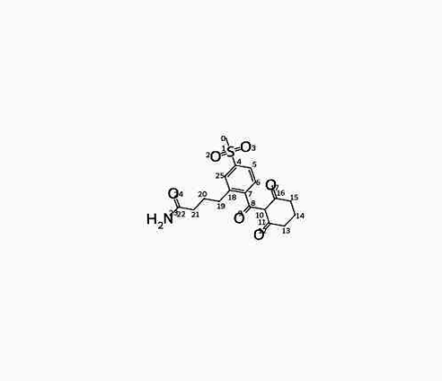 CS(=O)(=O)c1ccc(C(=O)C2C(=O)CCCC2=O)c(CCCC(N)=O)c1